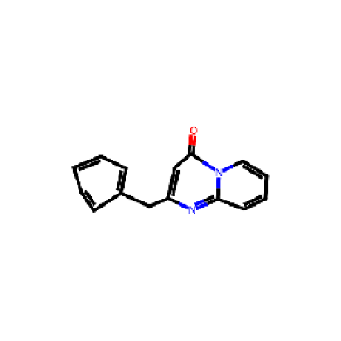 O=c1cc(Cc2ccccc2)nc2ccccn12